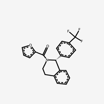 O=C(c1ccco1)N1CCc2ccccc2[C@H]1c1ccc(C(F)(F)F)cc1